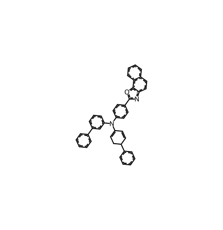 C1=CC(c2ccccc2)CC=C1N(c1ccc(-c2nc3ccc4ccccc4c3o2)cc1)c1cccc(-c2ccccc2)c1